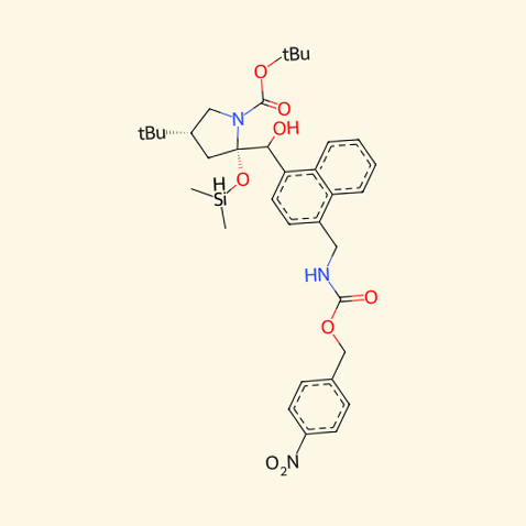 C[SiH](C)O[C@]1(C(O)c2ccc(CNC(=O)OCc3ccc([N+](=O)[O-])cc3)c3ccccc23)C[C@H](C(C)(C)C)CN1C(=O)OC(C)(C)C